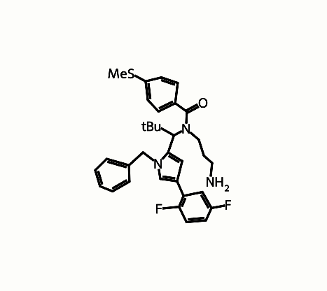 CSc1ccc(C(=O)N(CCCN)C(c2cc(-c3cc(F)ccc3F)cn2Cc2ccccc2)C(C)(C)C)cc1